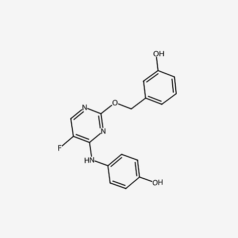 Oc1ccc(Nc2nc(OCc3cccc(O)c3)ncc2F)cc1